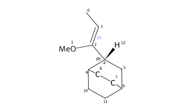 C/C=C(\OC)[C@@H]1CC2CCC1CC2